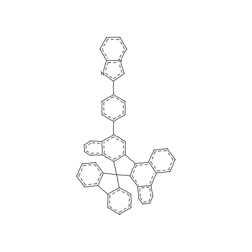 c1ccc2c(c1)-c1ccccc1C21c2c(cc(-c3ccc(-c4cn5ccccc5n4)cc3)c3ccccc23)-c2c1c1ccccc1c1ccccc21